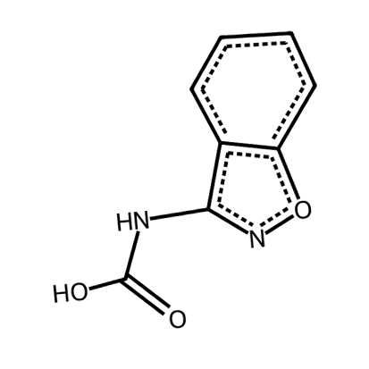 O=C(O)Nc1noc2ccccc12